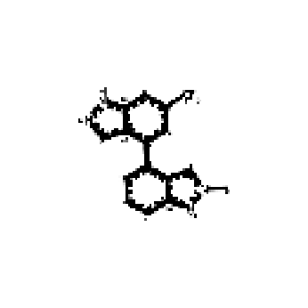 Cn1cc2c(-c3cc(C(F)(F)F)cc4[nH]ncc34)cccc2n1